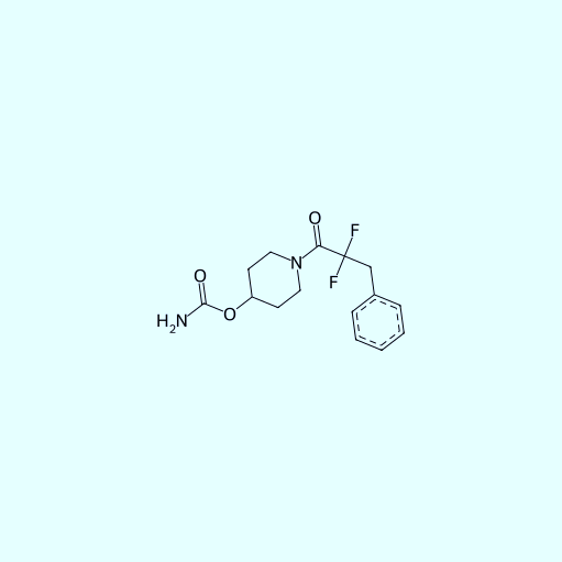 NC(=O)OC1CCN(C(=O)C(F)(F)Cc2ccccc2)CC1